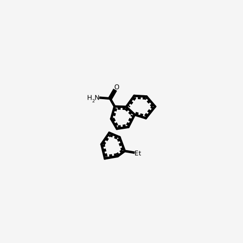 CCc1ccccc1.NC(=O)c1cccc2ccccc12